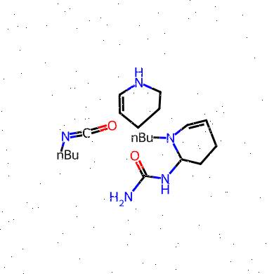 C1=CNCCC1.CCCCN1C=CCCC1NC(N)=O.CCCCN=C=O